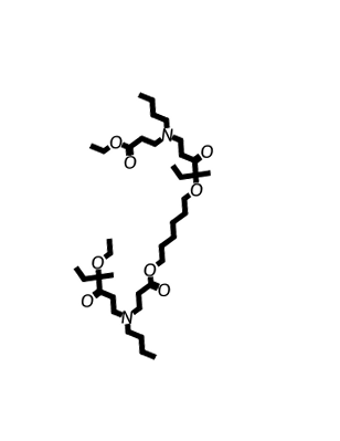 CCCCN(CCC(=O)OCCCCCCOC(C)(CC)C(=O)CCN(CCCC)CCC(=O)OCC)CCC(=O)C(C)(CC)OCC